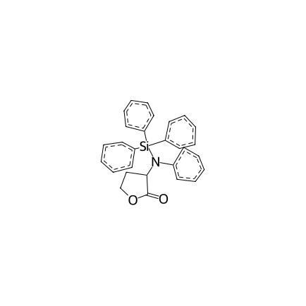 O=C1OCCC1N(c1ccccc1)[Si](c1ccccc1)(c1ccccc1)c1ccccc1